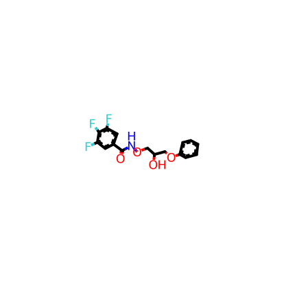 O=C(NOCC(O)COc1ccccc1)c1cc(F)c(F)c(F)c1